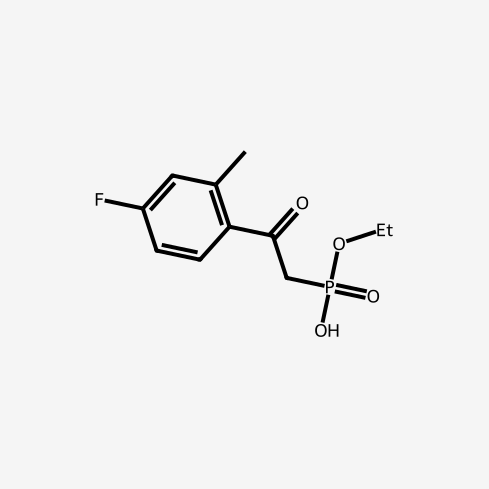 CCOP(=O)(O)CC(=O)c1ccc(F)cc1C